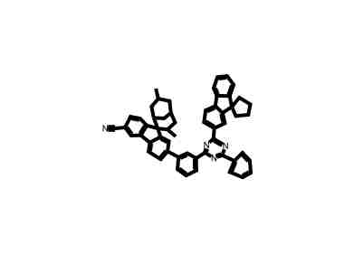 CC1CC2CC(C)C3(c4ccc(C#N)cc4-c4ccc(-c5cccc(-c6nc(-c7ccccc7)nc(-c7ccc8c(c7)C7(CCCC7)c7ccccc7-8)n6)c5)cc43)C(C1)C2